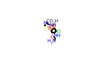 NCC(=O)Nc1ccc(S(=O)(=O)Nc2scnc2C(=O)O)cc1Cl